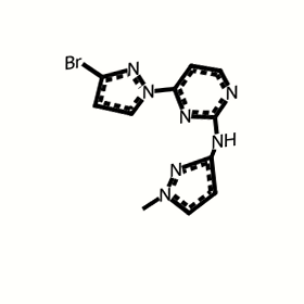 Cn1ccc(Nc2nccc(-n3ccc(Br)n3)n2)n1